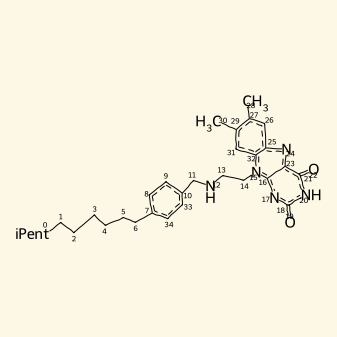 CCCC(C)CCCCCCc1ccc(CNCCn2c3nc(=O)[nH]c(=O)c-3nc3cc(C)c(C)cc32)cc1